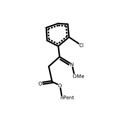 CCCCCOC(=O)CC(=NOC)c1c[c]ccc1Cl